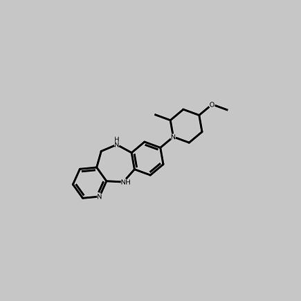 COC1CCN(c2ccc3c(c2)NCc2cccnc2N3)C(C)C1